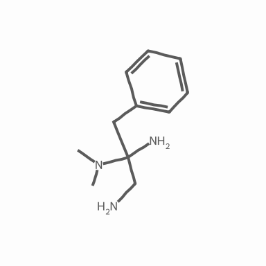 CN(C)C(N)(CN)Cc1ccccc1